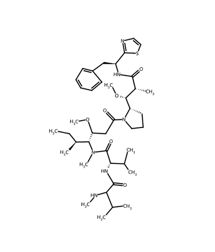 CC[C@H](C)[C@H](C(CC(=O)N1CCC[C@H]1[C@H](OC)[C@@H](C)C(=O)N[C@@H](Cc1ccccc1)c1nccs1)OC)N(C)C(=O)[C@@H](NC(=O)C(NC)C(C)C)C(C)C